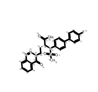 CS(=O)(=O)N(c1ccc(-c2ccc(F)cc2)cc1)[C@H](CCn1nnc2ccccc2c1=O)C(=O)O